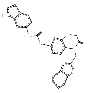 O=C(Nc1ccc2c(c1)OCC(=O)N2Cc1nc2ccccc2s1)Nc1ccc2cc[nH]c2c1